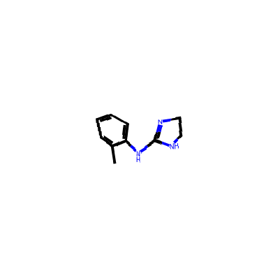 Cc1ccccc1NC1=NCCN1